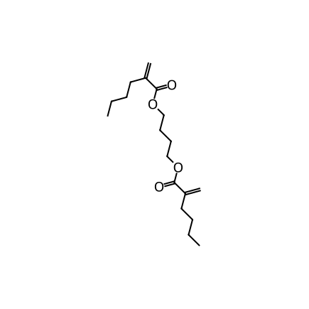 C=C(CCCC)C(=O)OCCCCOC(=O)C(=C)CCCC